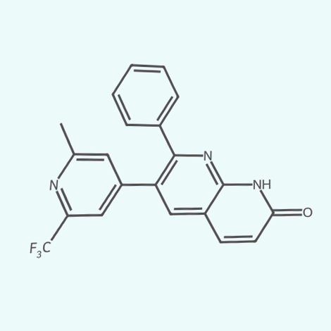 Cc1cc(-c2cc3ccc(=O)[nH]c3nc2-c2ccccc2)cc(C(F)(F)F)n1